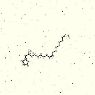 CCCCCCCC/C=C\CCCCCCC(C)CN1C=NCC1